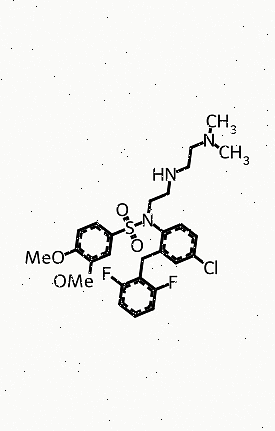 COc1ccc(S(=O)(=O)N(CCNCCN(C)C)c2ccc(Cl)cc2Cc2c(F)cccc2F)cc1OC